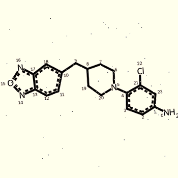 Nc1ccc(N2CCC(Cc3ccc4nonc4c3)CC2)c(Cl)c1